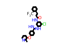 Cc1ncccc1Oc1ccc(C(=N)Nc2cc(Cl)cc(NC(=O)/C=C/c3ccccc3C(F)(F)F)c2)cc1